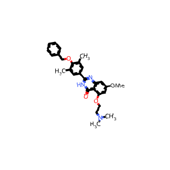 COc1cc(OCCN(C)C)c2c(=O)[nH]c(-c3cc(C)c(OCc4ccccc4)c(C)c3)nc2c1